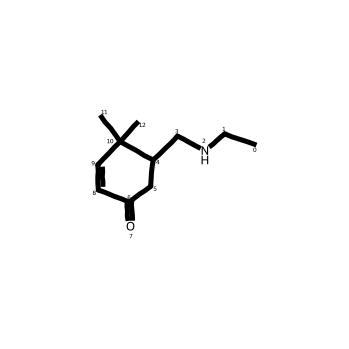 CCNCC1CC(=O)C=CC1(C)C